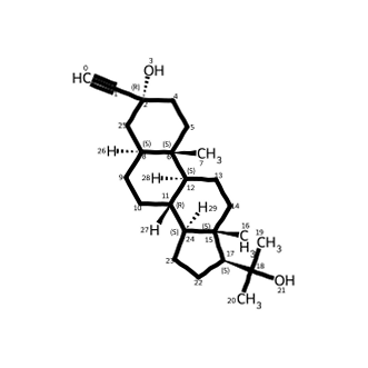 C#C[C@@]1(O)CC[C@@]2(C)[C@@H](CC[C@@H]3[C@@H]2CC[C@]2(C)[C@@H](C(C)(C)O)CC[C@@H]32)C1